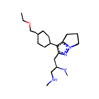 CCOCC1CCC(c2c(CC(CNC)NC)nn3c2CCC3)CC1